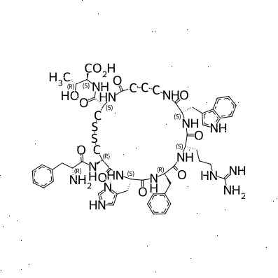 C[C@@H](O)[C@H](NC(=O)[C@H]1CSSC[C@H](NC(=O)[C@H](N)Cc2ccccc2)C(=O)N[C@@H](Cc2c[nH]cn2)C(=O)N[C@H](Cc2ccccc2)C(=O)N[C@@H](CCCNC(=N)N)C(=O)N[C@@H](Cc2c[nH]c3ccccc23)C(=O)NCCCC(=O)N1)C(=O)O